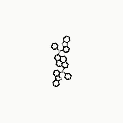 C1=CC2Oc3c(cccc3N(c3ccccc3)c3ccc4ccc5c(N(c6ccccc6)c6cccc7c6oc6ccccc67)ccc6ccc3c4c65)C2C=C1